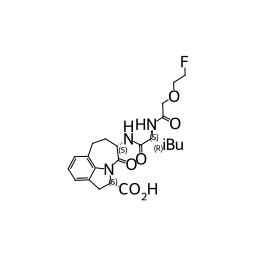 CC[C@@H](C)[C@H](NC(=O)COCCF)C(=O)N[C@H]1CCc2cccc3c2N(C1=O)[C@H](C(=O)O)C3